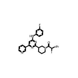 CCCC(I)C(=O)N1CCCC(c2nc(Nc3cccc(F)c3)cc(-c3cccnc3)n2)C1